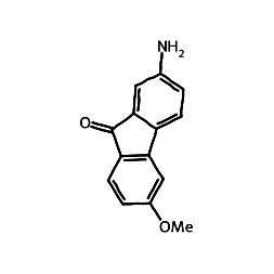 COc1ccc2c(c1)-c1ccc(N)cc1C2=O